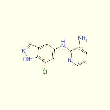 Nc1cccnc1Nc1cc(Cl)c2[nH]ncc2c1